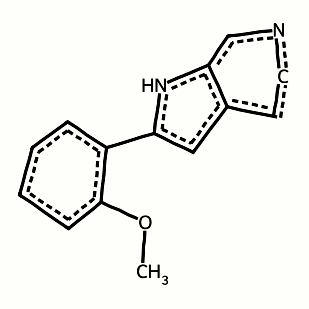 COc1ccccc1-c1cc2ccncc2[nH]1